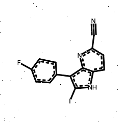 N#Cc1ccc2[nH]c(I)c(-c3ccc(F)cc3)c2n1